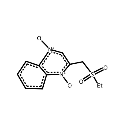 CCS(=O)(=O)Cc1c[n+]([O-])c2ccccc2[n+]1[O-]